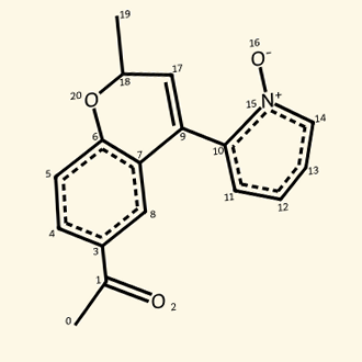 CC(=O)c1ccc2c(c1)C(c1cccc[n+]1[O-])=CC(C)O2